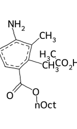 CC(=O)O.CCCCCCCCOC(=O)c1ccc(N)c(C)c1C